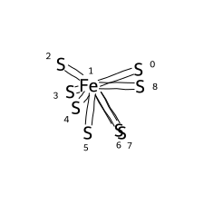 [S]=[Fe](=[S])(=[S])(=[S])(=[S])(=[S])(=[S])=[S]